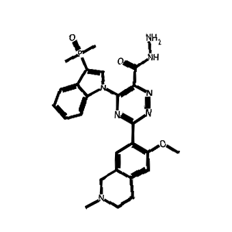 COc1cc2c(cc1-c1nnc(C(=O)NN)c(-n3cc(P(C)(C)=O)c4ccccc43)n1)CN(C)CC2